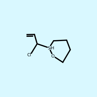 C=CC(Cl)[SiH]1CCCCO1